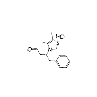 CC1=C(C)N(C(CC=O)Cc2ccccc2)CS1.Cl